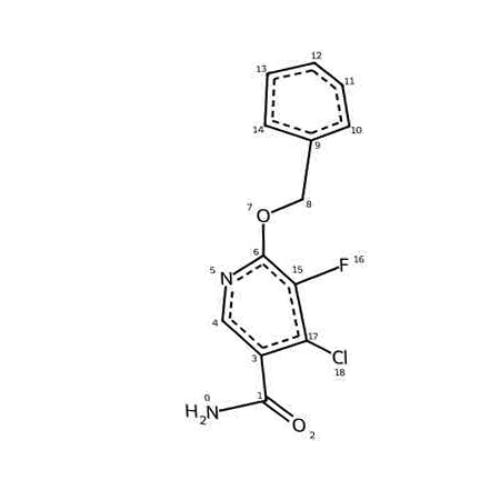 NC(=O)c1cnc(OCc2ccccc2)c(F)c1Cl